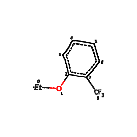 C[CH]Oc1ccccc1C(F)(F)F